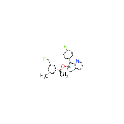 C[C@H](O[C@@H]1CCc2cccnc2[C@H]1C1C=CC(F)=CC1)c1cc(CF)cc(C(F)(F)F)c1